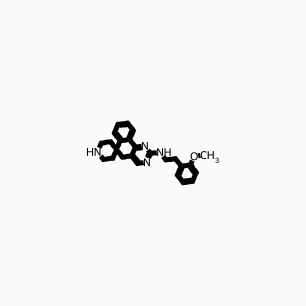 COc1ccccc1CCNc1ncc2c(n1)-c1ccccc1C1(CCNCC1)C2